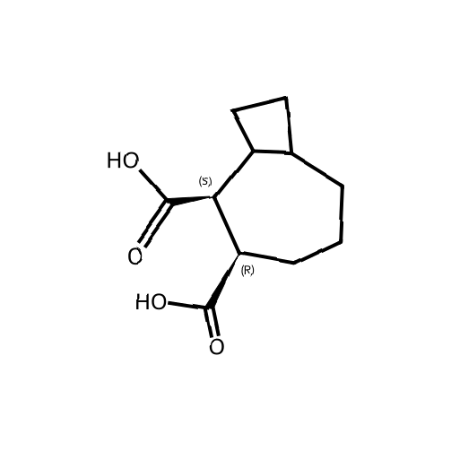 O=C(O)[C@@H]1CCCC2CCC2[C@@H]1C(=O)O